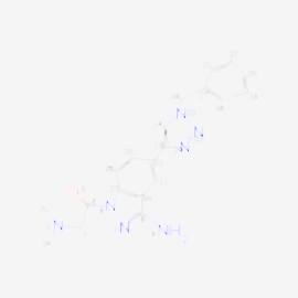 CN(C)CC(=O)n1nc(N)c2cc(-c3cn(Cc4ccccc4)nn3)ccc21